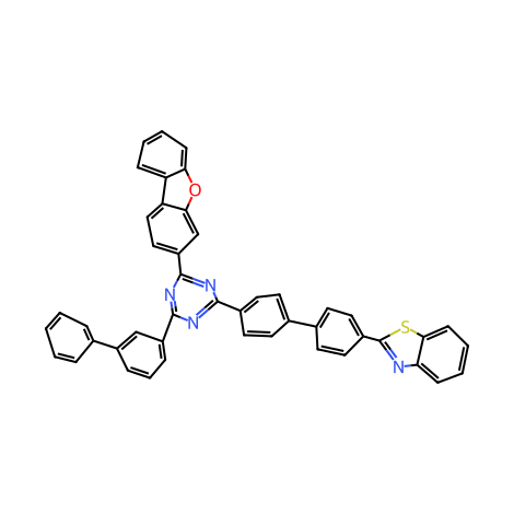 c1ccc(-c2cccc(-c3nc(-c4ccc(-c5ccc(-c6nc7ccccc7s6)cc5)cc4)nc(-c4ccc5c(c4)oc4ccccc45)n3)c2)cc1